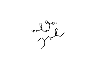 CCC(=O)OCC(CC)CC.O=C(O)/C=C\C(=O)O